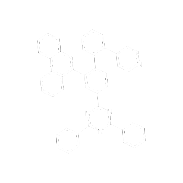 c1ccc(-c2nc(-c3ccccc3)nc(-c3ccc(-c4ccccc4-c4ccncc4)c(-c4cc5ccccc5c5ccccc45)c3)n2)cc1